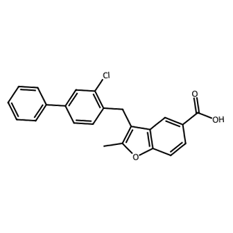 Cc1oc2ccc(C(=O)O)cc2c1Cc1ccc(-c2ccccc2)cc1Cl